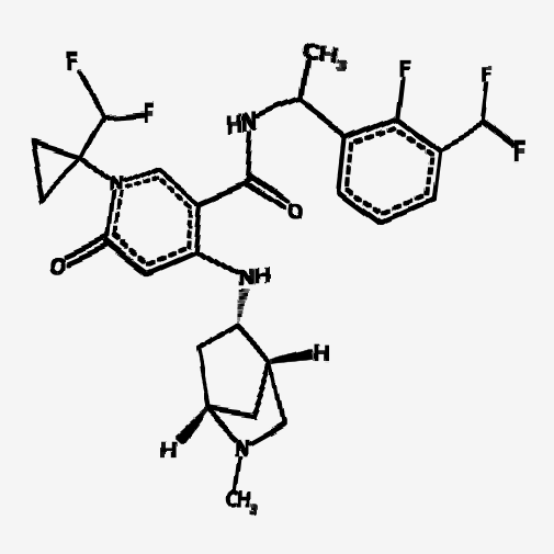 CC(NC(=O)c1cn(C2(C(F)F)CC2)c(=O)cc1N[C@H]1C[C@@H]2C[C@H]1CN2C)c1cccc(C(F)F)c1F